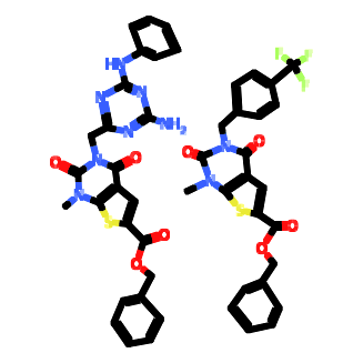 Cn1c(=O)n(Cc2ccc(C(F)(F)F)cc2)c(=O)c2cc(C(=O)OCc3ccccc3)sc21.Cn1c(=O)n(Cc2nc(N)nc(Nc3ccccc3)n2)c(=O)c2cc(C(=O)OCc3ccccc3)sc21